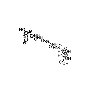 O=C(O)CC[C@H](NC(=O)N[C@@H](CCC(=O)NCCNC(=O)CCOCCOCCNC(=O)Nc1ccc(-c2c3ccc(=O)cc-3oc3cc(O)ccc23)c(C(=O)O)c1)C(=O)O)C(=O)O